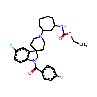 CCOC(=O)NC1CCCCC(N2CCC3(CC2)CN(C(=O)c2ccc(F)cc2)c2ccc(F)cc23)C1